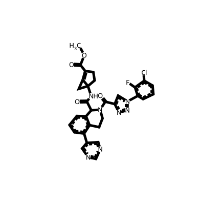 COC(=O)C1=C2CC2(NC(=O)C2c3cccc(-c4cncnc4)c3CCN2C(=O)c2cn(-c3cccc(Cl)c3F)nn2)CC1